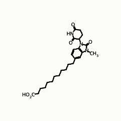 Cn1c(=O)n(C2CCC(=O)NC2=O)c2ccc(CCCCCCCCCCCC(=O)O)cc21